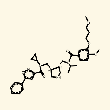 COCCCOc1cc(C(=O)N(C[C@@H]2CNC[C@H]2CN(C(=O)c2cc(-c3ccccc3)on2)C2CC2)C(C)C)ccc1OC